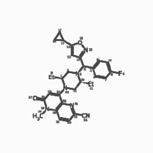 CC[C@H]1CN(C(c2ccc(F)cc2)c2cc(C3CC3)on2)[C@H](CC)CN1c1cc(=O)n(C)c2ccc(C#N)nc12